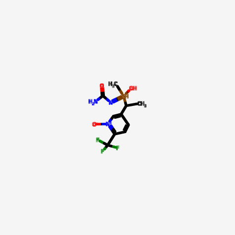 CC(c1ccc(C(F)(F)F)[n+]([O-])c1)[SH](C)(O)=NC(N)=O